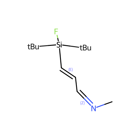 C/N=C\C=C\[Si](F)(C(C)(C)C)C(C)(C)C